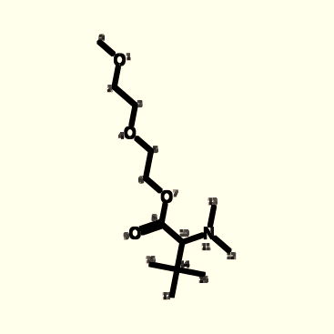 COCCOCCOC(=O)C(N(C)C)C(C)(C)C